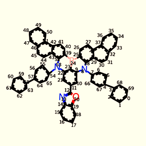 c1ccc(-c2ccc(N3c4cc(-c5nc6ccccc6o5)cc5c4B(c4ccc6c(ccc7ccccc76)c43)c3ccc4c(ccc6ccccc64)c3N5c3ccc(-c4ccccc4)cc3)cc2)cc1